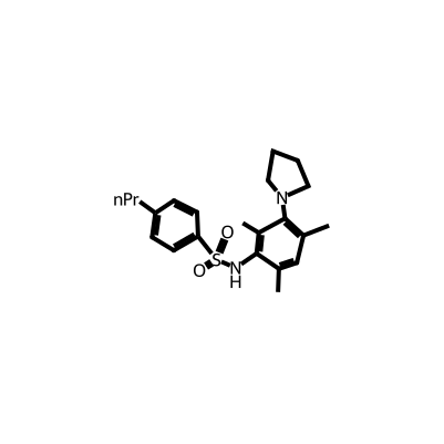 CCCc1ccc(S(=O)(=O)Nc2c(C)cc(C)c(N3CCCC3)c2C)cc1